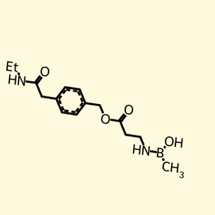 CCNC(=O)Cc1ccc(COC(=O)CCNB(C)O)cc1